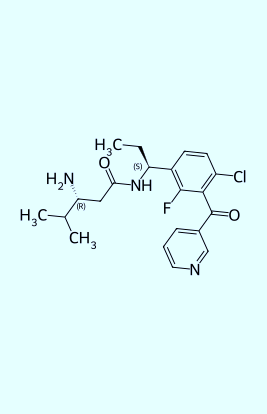 CC[C@H](NC(=O)C[C@@H](N)C(C)C)c1ccc(Cl)c(C(=O)c2cccnc2)c1F